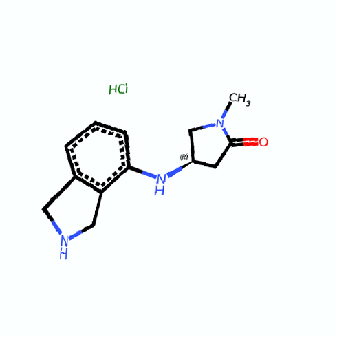 CN1C[C@H](Nc2cccc3c2CNC3)CC1=O.Cl